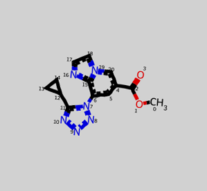 COC(=O)c1cc(-n2nnnc2C2CC2)c2nccn2c1